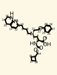 O=C(NC(CCN(CCCCc1ccc2c(n1)NCCC2)CCOc1ccccc1)C(=O)O)OCC1CCC1